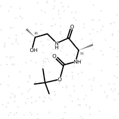 C[C@H](NC(=O)OC(C)(C)C)C(=O)NC[C@@H](C)O